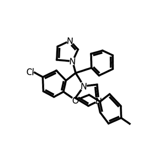 Cc1ccc(COc2ccc(Cl)cc2C(c2ccccc2)(n2ccnc2)n2ccnc2)cc1